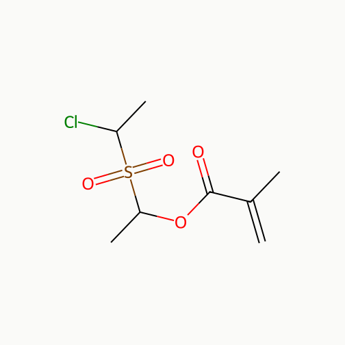 C=C(C)C(=O)OC(C)S(=O)(=O)C(C)Cl